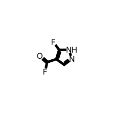 O=C(F)c1cn[nH]c1F